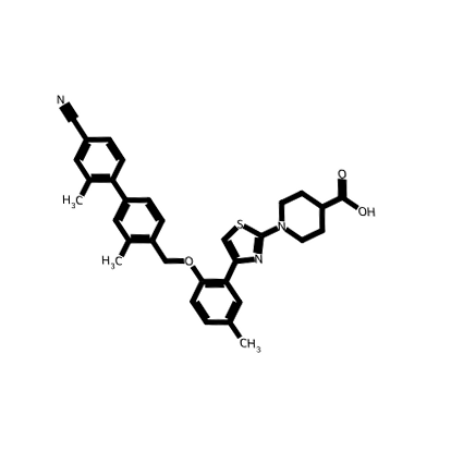 Cc1ccc(OCc2ccc(-c3ccc(C#N)cc3C)cc2C)c(-c2csc(N3CCC(C(=O)O)CC3)n2)c1